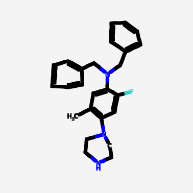 Cc1cc(N(Cc2ccccc2)Cc2ccccc2)c(F)cc1N1CCNCC1